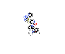 CN(C)CC(CNC(=O)c1nccc(Sc2cnc(Nc3ccccn3)s2)c1F)(c1ccccc1)c1ccccc1